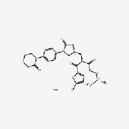 CC(C)[C@@H](NCC(=O)N(C[C@H]1CN(c2ccc(N3CCOCC3=O)cc2)C(=O)O1)C(=O)c1ccc(Cl)s1)C(=O)O.Cl